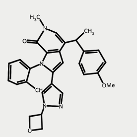 COc1ccc(C(C)c2cn(C)c(=O)c3c2cc(-c2cnn(C4COC4)c2)n3-c2ccccc2C)cc1